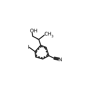 C[C](CO)c1cc(C#N)ccc1I